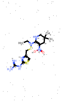 CCN(SCc1csc(NC(=N)N)n1)C1=C([N+](=O)[O-])CC(C)(C)CN1